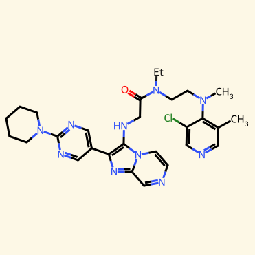 CCN(CCN(C)c1c(C)cncc1Cl)C(=O)CNc1c(-c2cnc(N3CCCCC3)nc2)nc2cnccn12